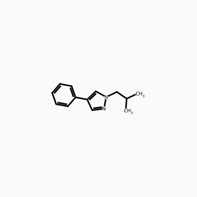 CC(C)Cn1cc(-c2c[c]ccc2)cn1